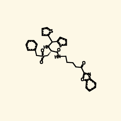 O=C(CCCCNC(=O)[C@H](CS(=O)(=O)Cc1ccccc1)NC(c1cccs1)c1cccs1)c1nc2ccccc2o1